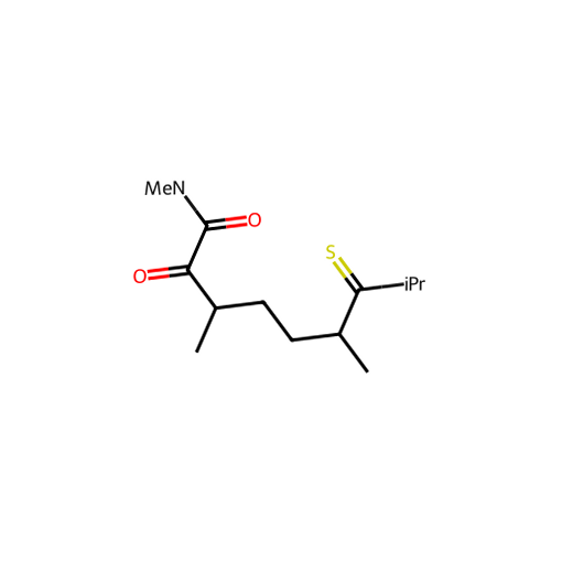 CNC(=O)C(=O)C(C)CCC(C)C(=S)C(C)C